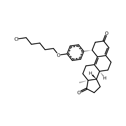 C[C@]12CCC3=C4C(=CC(=O)C[C@H]4c4ccc(OCCCCCCl)cc4)CC[C@H]3[C@@H]1CCC2=O